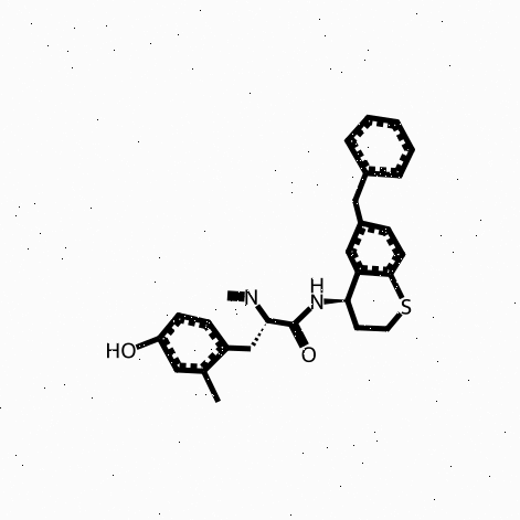 C=N[C@@H](Cc1ccc(O)cc1C)C(=O)N[C@@H]1CCSc2ccc(Cc3ccccc3)cc21